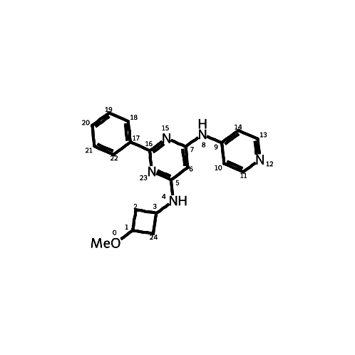 COC1CC(Nc2cc(Nc3ccncc3)nc(-c3ccccc3)n2)C1